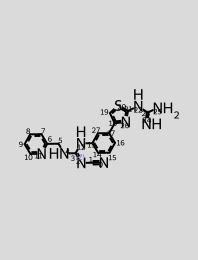 N#C/N=C(/NCc1ccccn1)Nc1cccc(-c2csc(NC(=N)N)n2)c1